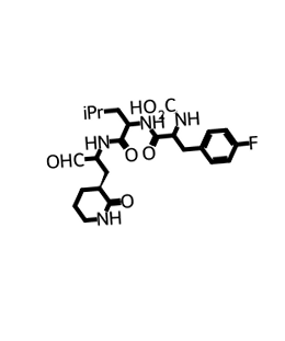 CC(C)CC(NC(=O)C(Cc1ccc(F)cc1)NC(=O)O)C(=O)NC(C=O)C[C@@H]1CCCNC1=O